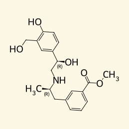 COC(=O)c1cccc(C[C@@H](C)NC[C@H](O)c2ccc(O)c(CO)c2)c1